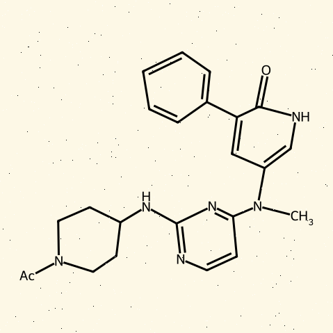 CC(=O)N1CCC(Nc2nccc(N(C)c3c[nH]c(=O)c(-c4ccccc4)c3)n2)CC1